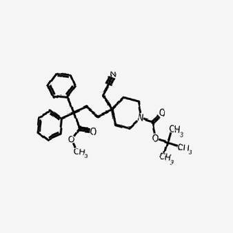 COC(=O)C(CCC1(CC#N)CCN(C(=O)OC(C)(C)C)CC1)(c1ccccc1)c1ccccc1